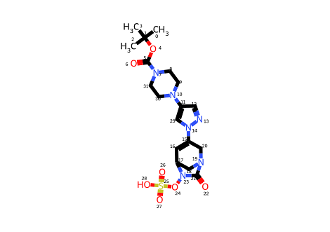 CC(C)(C)OC(=O)N1CCN(c2cnn(C3=CC4CN(C3)C(=O)N4OS(=O)(=O)O)c2)CC1